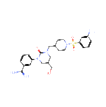 N=C(N)c1cccc(N2CC(CO)CN(CC3CCN(S(=O)(=O)c4cccc(N)c4)CC3)C2=O)c1